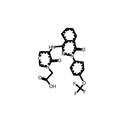 O=C(O)Cn1cccc(Nc2nn(-c3ccc(OC(F)(F)F)cc3)c(=O)c3ccccc23)c1=O